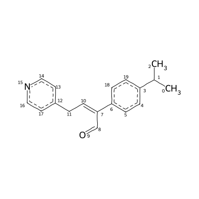 CC(C)c1ccc(C(C=O)=CCc2ccncc2)cc1